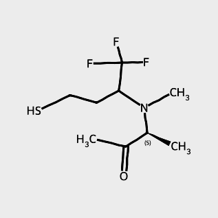 CC(=O)[C@H](C)N(C)C(CCS)C(F)(F)F